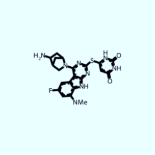 CNc1cc(F)cc2c1[nH]c1nc(Sc3cc(=O)[nH]c(=O)[nH]3)nc(N3CC4CC3CC4N)c12